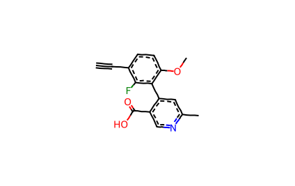 C#Cc1ccc(OC)c(-c2cc(C)ncc2C(=O)O)c1F